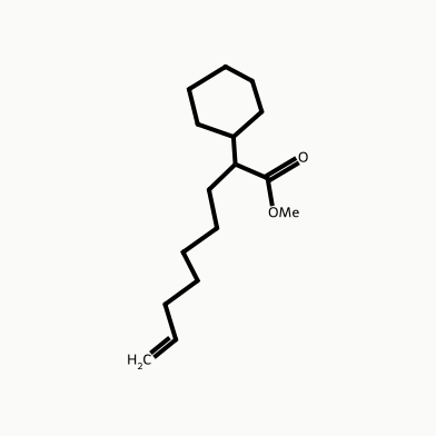 C=CCCCCCC(C(=O)OC)C1CCCCC1